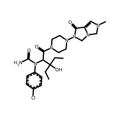 CCC(O)(CC)C(C(=O)N1CCN(N2CN3CN(C)C=C3C2=O)CC1)N(C(N)=O)c1ccc(Cl)cc1